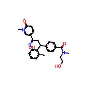 Cc1ccccc1C(C/C(=N\O)c1ccc(=O)n(C)c1)c1ccc(C(=O)N(C)CCO)cc1